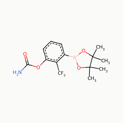 CC1(C)OB(c2cccc(OC(N)=O)c2C(F)(F)F)OC1(C)C